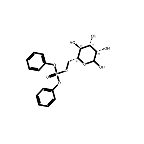 O=P(OC[C@H]1OC(O)[C@@H](O)[C@@H](O)[C@@H]1O)(Oc1ccccc1)Oc1ccccc1